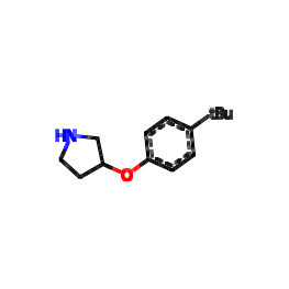 CC(C)(C)c1ccc(OC2CCNC2)cc1